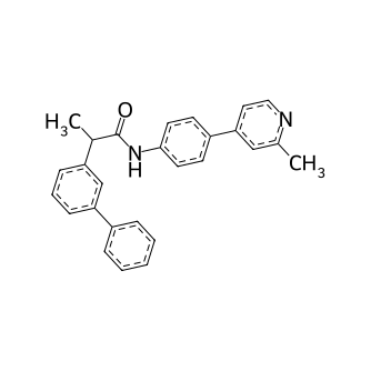 Cc1cc(-c2ccc(NC(=O)C(C)c3cccc(-c4ccccc4)c3)cc2)ccn1